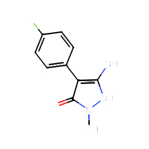 Cn1[nH]c(N)c(-c2ccc(F)cc2)c1=O